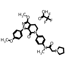 COc1ccc(-n2nc(OC)c3c2C(=O)N(c2ccc(N(C)C(=O)CN4CCCC4)cc2)CC3)cc1.O=C(O)C(F)(F)F